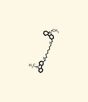 CCn1c2ccccc2c2cc(C=NCCCCCCC/N=C/c3ccc4c(c3)c3ccccc3n4CC)ccc21